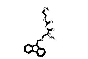 C=CCOC(=O)OC(=O)[C@@H](N)CSCC1c2ccccc2-c2ccccc21